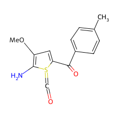 COC1=C(N)S(=C=O)C(C(=O)c2ccc(C)cc2)=C1